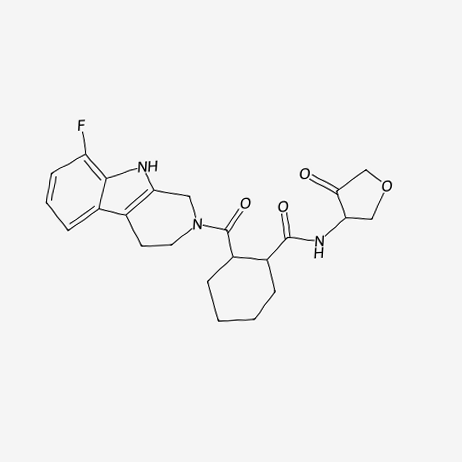 O=C1COCC1NC(=O)C1CCCCC1C(=O)N1CCc2c([nH]c3c(F)cccc23)C1